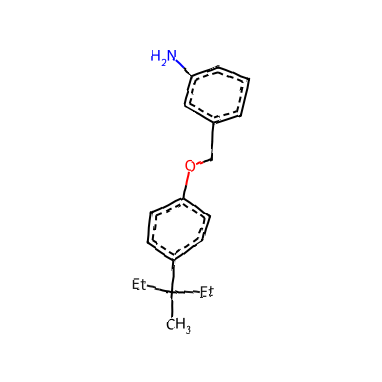 CCC(C)(CC)c1ccc(OCc2cccc(N)c2)cc1